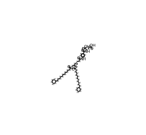 O=C(O)CC[C@H](NC(=O)c1ccc(NC(=O)CCSCC(COC(=O)CCCCCCCCCCCC2CCCCC2)OC(=O)CCCCCCCCCCCC2CCCCC2)cc1)C(=O)O